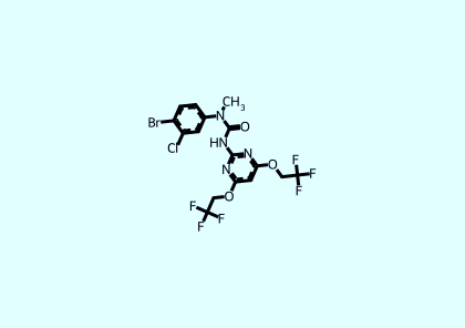 CN(C(=O)Nc1nc(OCC(F)(F)F)cc(OCC(F)(F)F)n1)c1ccc(Br)c(Cl)c1